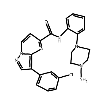 NN1CCN(c2ccccc2NC(=O)c2ccn3ncc(-c4cccc(Cl)c4)c3n2)CC1